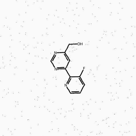 OCc1cc(-c2ncccc2F)ncn1